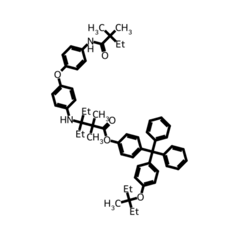 CCC(C)(CC)Oc1ccc(C(c2ccccc2)(c2ccccc2)c2ccc(OC(=O)C(C)(C)C(CC)(CC)Nc3ccc(Oc4ccc(NC(=O)C(C)(C)CC)cc4)cc3)cc2)cc1